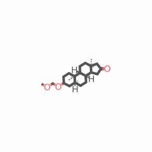 COCOC1CC[C@]2(C)[C@@H](CC[C@@H]3C4CC(=O)C[C@]4(C)CC[C@H]32)C1